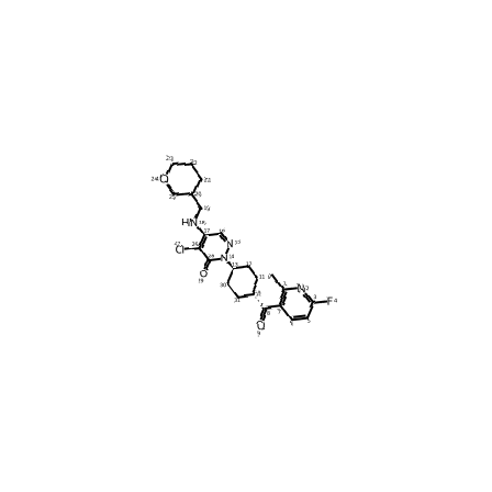 Cc1nc(F)ccc1C(=O)[C@H]1CC[C@H](n2ncc(NCC3CCCOC3)c(Cl)c2=O)CC1